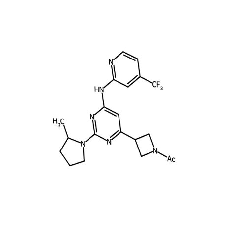 CC(=O)N1CC(c2cc(Nc3cc(C(F)(F)F)ccn3)nc(N3CCCC3C)n2)C1